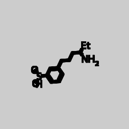 CCC(N)CCCc1cccc([SH](=O)=O)c1